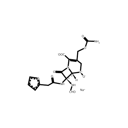 NC(=O)OCC1=C(C(=O)[O-])N2C(=O)[C@@](NC=O)(NC(=O)Cc3cccs3)[C@H]2[S+]([O-])C1.[Na+]